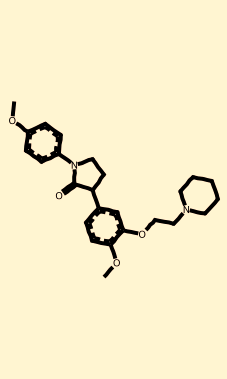 COc1ccc(N2CCC(c3ccc(OC)c(OCCN4CCCCC4)c3)C2=O)cc1